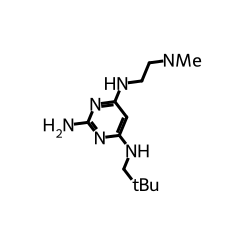 CNCCNc1cc(NCC(C)(C)C)nc(N)n1